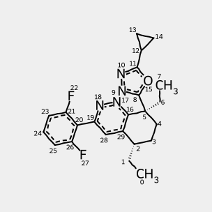 CC[C@H]1CC[C@](CC)(c2nnc(C3CC3)o2)c2nnc(-c3c(F)cccc3F)cc21